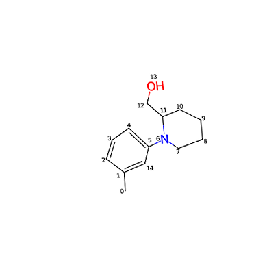 Cc1cccc(N2CCCCC2CO)c1